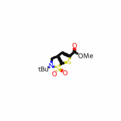 COC(=O)c1cc2c(s1)S(=O)(=O)N(C(C)(C)C)C2